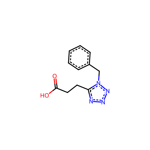 O=C(O)CCc1nnnn1Cc1ccccc1